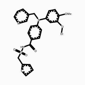 CCOc1cc(N(Cc2cccnc2)c2ccc(C(=O)NS(=O)(=O)Cc3cccs3)cc2)ccc1OC